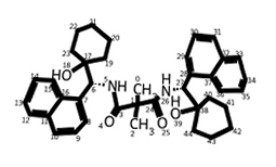 CC(C)(C(=O)N[C@H](c1cccc2ccccc12)C1(O)CCCCC1)C(=O)N[C@H](c1cccc2ccccc12)C1(O)CCCCC1